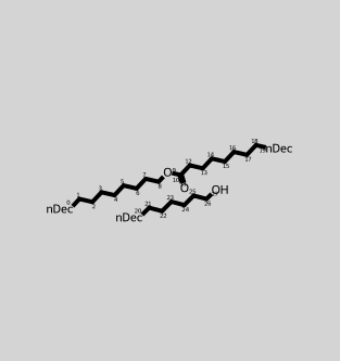 CCCCCCCCCCCCCCCCCCOC(=O)CCCCCCCCCCCCCCCCC.CCCCCCCCCCCCCCCCO